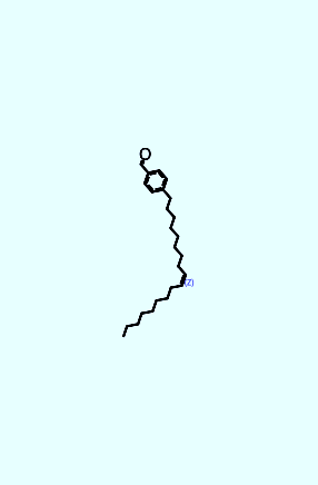 CCCCCCCC/C=C\CCCCCCCCc1ccc(C=O)cc1